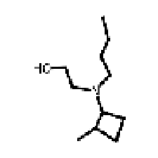 CCCCN(CCO)C1CCC1C